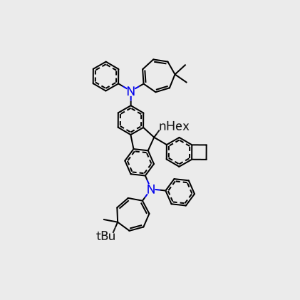 CCCCCCC1(c2ccc3c(c2)CC3)c2cc(N(C3=CC=CC(C)(C)C=C3)c3ccccc3)ccc2-c2ccc(N(C3=CC=CC(C)(C(C)(C)C)C=C3)c3ccccc3)cc21